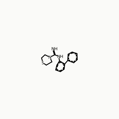 N=C(Nc1ccccc1-c1ccccc1)N1CCSCC1